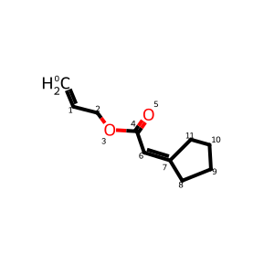 C=CCOC(=O)C=C1CCCC1